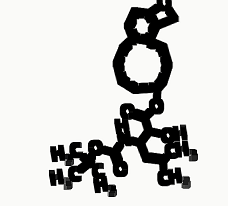 CC(C)=CC(NC(=O)OC(C)(C)C)C(O)C(=O)Oc1ccccc2ccc3c(c2ccc1)CO3